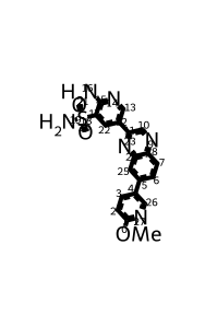 COc1ccc(-c2ccc3ncc(-c4cnc(N)c(S(N)(=O)=O)c4)nc3c2)cn1